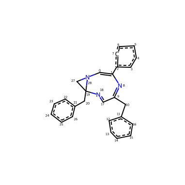 C1=C(c2ccccc2)/N=C(Cc2ccccc2)\C=N\C2(Cc3ccccc3)CN\12